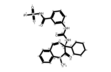 CC(C)S(=O)(=O)NC(=O)c1cccc(NC(=O)N[C@]2(C3CCCCC3)N=Cc3ccccc3N(C)C2=O)c1